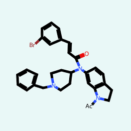 CC(=O)N1CCc2ccc(N(C(=O)C=Cc3cccc(Br)c3)C3CCN(Cc4ccccc4)CC3)cc21